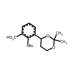 CCCCc1c(C(=O)O)cccc1C1CCOC(C)(C)O1